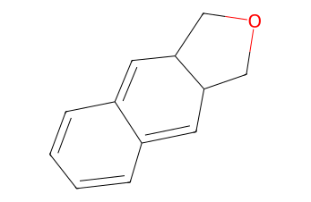 C1=c2ccccc2=CC2COCC12